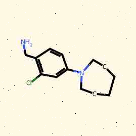 NCc1ccc(N2CCCCCC2)cc1Cl